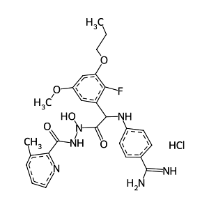 CCCOc1cc(OC)cc(C(Nc2ccc(C(=N)N)cc2)C(=O)N(O)NC(=O)c2ncccc2C)c1F.Cl